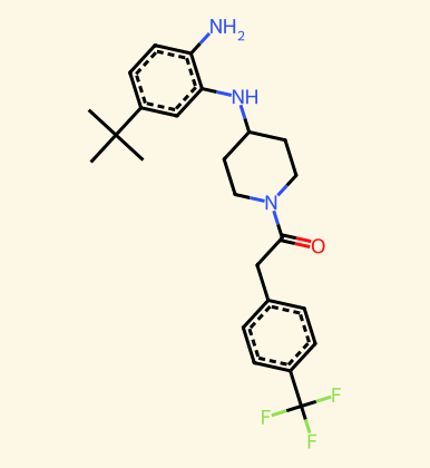 CC(C)(C)c1ccc(N)c(NC2CCN(C(=O)Cc3ccc(C(F)(F)F)cc3)CC2)c1